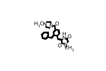 CN1CCN(C(=O)C2=CC(=Cc3ccccc3)C(/C=C3\NC(=O)CN(C)C3=O)C=C2)CC1